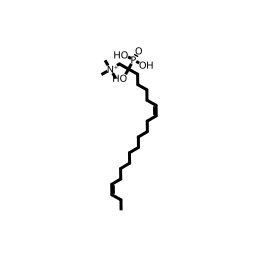 CC/C=C\CCCCCCCC/C=C\CCCCC(O)(C[N+](C)(C)C)P(=O)(O)O